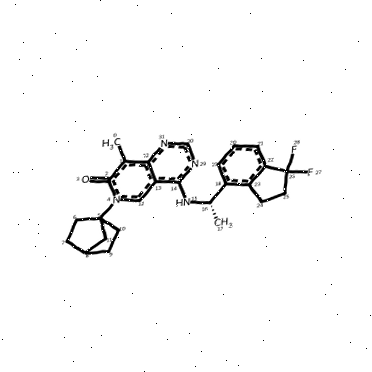 Cc1c(=O)n(C23CCC(CC2)C3)cc2c(N[C@@H](C)c3cccc4c3CCC4(F)F)ncnc12